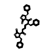 O=C(C/C=C/[C@H](Cc1ccccc1)C(=O)N1C(=O)OC[C@@H]1Cc1ccccc1)N1C(=O)OC[C@@H]1Cc1ccccc1